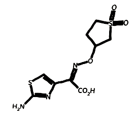 Nc1nc(C(=NOC2CCS(=O)(=O)C2)C(=O)O)cs1